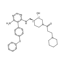 Nc1ncnc(NC[C@@H]2CCN(C(=O)CCN3CCCCC3)C[C@H]2O)c1-c1ccc(Oc2ccccc2)cc1